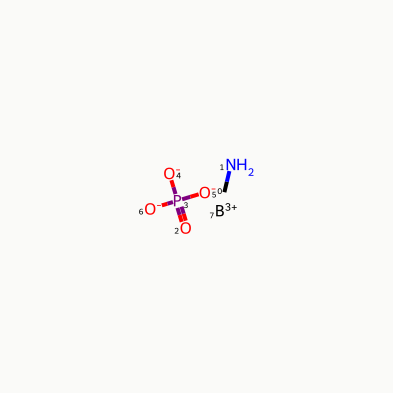 CN.O=P([O-])([O-])[O-].[B+3]